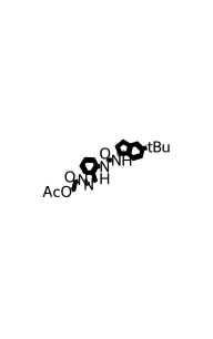 CC(=O)OCC(=O)n1ncc2c(NC(=O)N[C@@H]3CCc4cc(C(C)(C)C)ccc43)cccc21